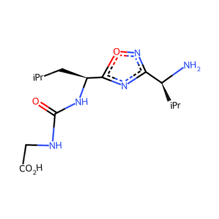 CC(C)C[C@H](NC(=O)NCC(=O)O)c1nc([C@@H](N)C(C)C)no1